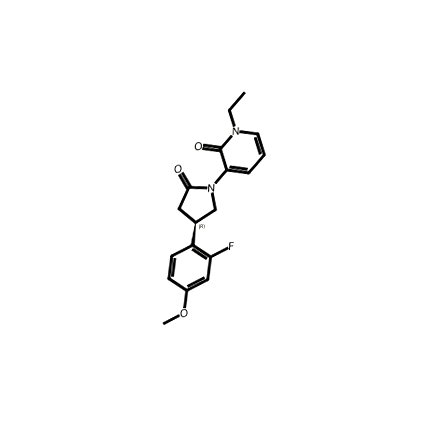 CCn1cccc(N2C[C@@H](c3ccc(OC)cc3F)CC2=O)c1=O